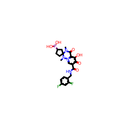 CN1C(=O)c2c(O)c(=O)c(C(=O)NCc3ccc(F)cc3F)cn2N(C)C12CCC(P(O)O)C2